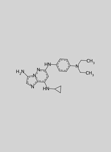 CCN(CC)c1ccc(Nc2cc(NC3CC3)c3ncc(N)n3n2)cc1